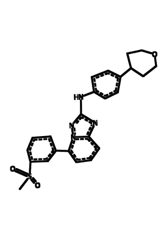 CS(=O)(=O)c1cccc(-c2cccc3nc(Nc4ccc(C5CCOCC5)cc4)nn23)c1